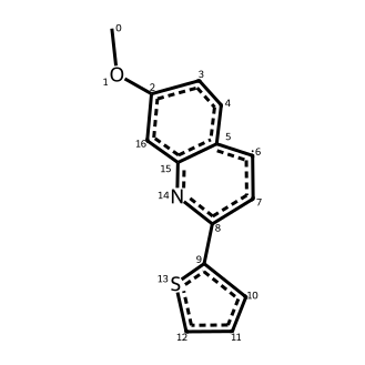 COc1ccc2[c]cc(-c3cccs3)nc2c1